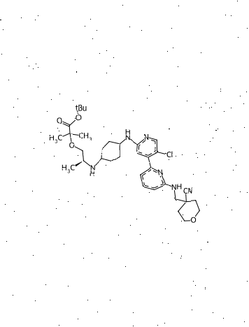 C[C@@H](COC(C)(C)C(=O)OC(C)(C)C)NC1CCC(Nc2cc(-c3cccc(NCC4(C#N)CCOCC4)n3)c(Cl)cn2)CC1